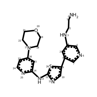 NCCNc1cncc(-c2cnc(Nc3cc(N4CCOCC4)ccn3)s2)c1